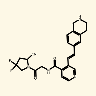 N#CC1CC(F)(F)CN1C(=O)CNC(=O)c1ccncc1/C=C/c1ccc2c(c1)CCNC2